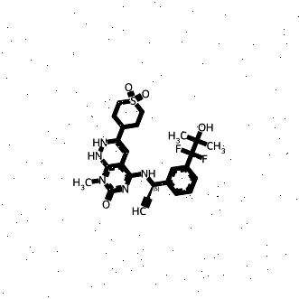 C#C[C@@H](Nc1nc(=O)n(C)c2c1C=C(C1CCS(=O)(=O)CC1)NN2)c1cccc(C(F)(F)C(C)(C)O)c1